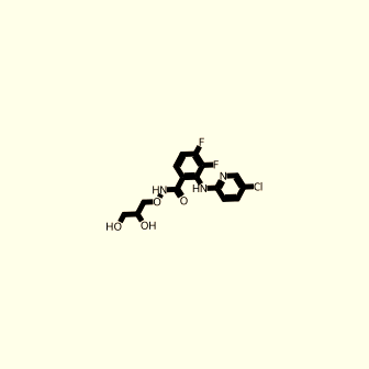 O=C(NOCC(O)CO)c1ccc(F)c(F)c1Nc1ccc(Cl)cn1